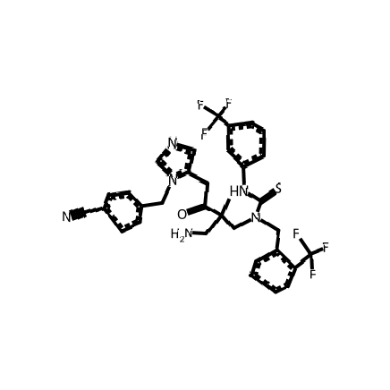 CC(CN)(CN(Cc1ccccc1C(F)(F)F)C(=S)Nc1cccc(C(F)(F)F)c1)C(=O)Cc1cncn1Cc1ccc(C#N)cc1